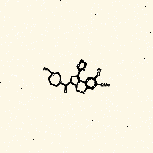 COc1cc2c(cc1OC(C)C)C1=C(c3cccs3)CC(C(=O)N3CCCN(C(C)=O)CC3)N1CC2